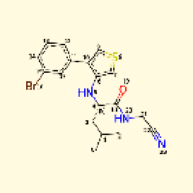 CC(C)C[C@H](Nc1cscc1-c1cccc(Br)c1)C(=O)NCC#N